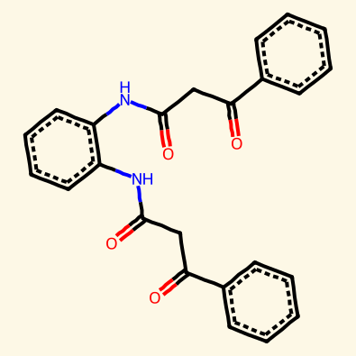 O=C(CC(=O)c1ccccc1)Nc1ccccc1NC(=O)CC(=O)c1ccccc1